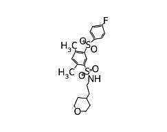 Cc1cc(C)c(S(=O)(=O)c2ccc(F)cc2)cc1S(=O)(=O)NCCC1CCOCC1